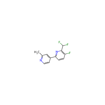 Cc1cc(-c2ccc(F)c(C(F)F)n2)ccn1